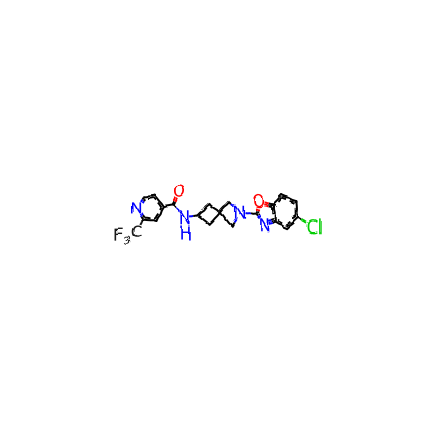 O=C(NC1CC2(C1)CN(c1nc3cc(Cl)ccc3o1)C2)c1ccnc(C(F)(F)F)c1